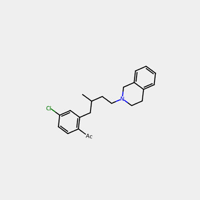 CC(=O)c1ccc(Cl)cc1CC(C)CCN1CCc2ccccc2C1